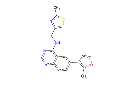 Cc1nc(CNc2ncnc3ccc(-c4ccoc4C)cc23)cs1